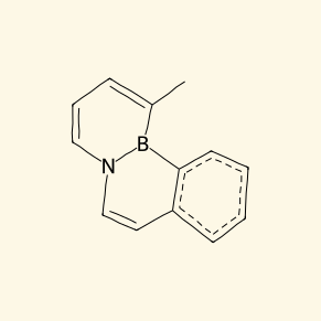 CC1=CC=CN2C=Cc3ccccc3B12